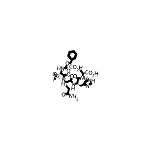 CC(=O)F.CC(C)[C@H](NC(=O)OCc1ccccc1)C(=O)N[C@@H](CCC(N)=O)C(=O)N[C@@H](Cc1c[nH]cn1)C(=O)N[C@@H](CC(=O)O)C(=O)O